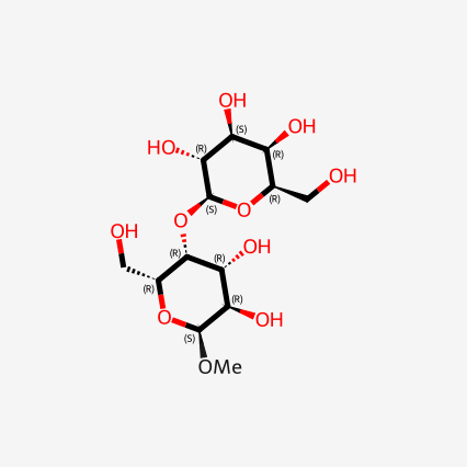 CO[C@H]1O[C@H](CO)[C@H](O[C@@H]2O[C@H](CO)[C@H](O)[C@H](O)[C@H]2O)[C@H](O)[C@H]1O